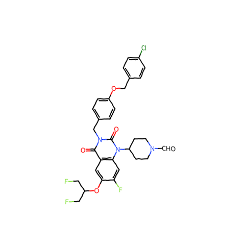 O=CN1CCC(n2c(=O)n(Cc3ccc(OCc4ccc(Cl)cc4)cc3)c(=O)c3cc(OC(CF)CF)c(F)cc32)CC1